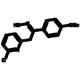 COc1ccc(/C(Cc2cccc(Cl)n2)=N/O)cc1